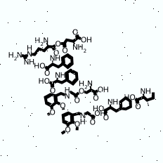 CC[C@H](C)[C@H](N)C(=O)O.COc1cccc(CNCC(=O)O)c1OC.COc1cccc(CNCC(=O)OC[C@@H](N)C(=O)O)c1OC.N=C(N)NCCC[C@@H](N)C(=O)OC(=O)C[C@H](N)C(=O)O.N[C@@H](CC1CCCCC1)C(=O)O.N[C@@H](Cc1ccccc1)C(=O)O.N[C@H](Cc1ccccc1)C(=O)O